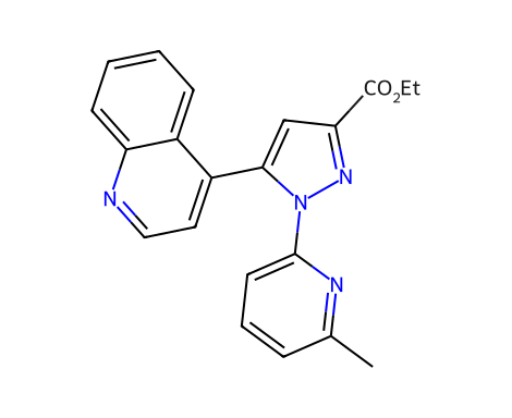 CCOC(=O)c1cc(-c2ccnc3ccccc23)n(-c2cccc(C)n2)n1